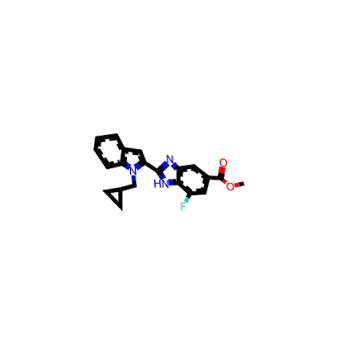 COC(=O)c1cc(F)c2[nH]c(-c3cc4ccccc4n3CC3CC3)nc2c1